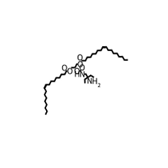 CCCCCCCC/C=C\CCCCCCCC(=O)OCC(COC(=O)CCCCCCC/C=C\CCCCCCCC)OC(=O)NCC(N)(CC)CC